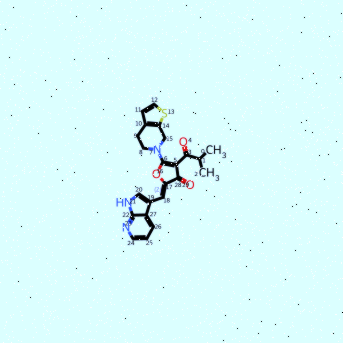 CC(C)C(=O)C1=C(N2CCc3ccsc3C2)O/C(=C\c2c[nH]c3ncccc23)C1=O